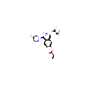 C=CC(=O)Nc1ccc2c(N3CC[C@@H](N)C3)nncc2c1.O=C(O)C(F)(F)F